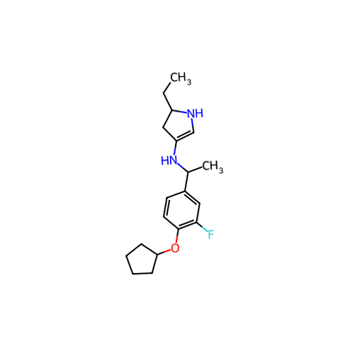 CCC1CC(NC(C)c2ccc(OC3CCCC3)c(F)c2)=CN1